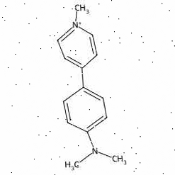 CN(C)c1ccc(-c2cc[n+](C)cc2)cc1